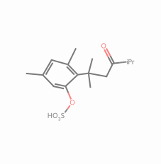 Cc1cc(C)c(C(C)(C)CC(=O)C(C)C)c(OS(=O)(=O)O)c1